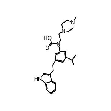 CC(C)c1cc(CCc2c[nH]c3ccccc23)cc(N(CCN2CCN(C)CC2)C(=O)O)c1